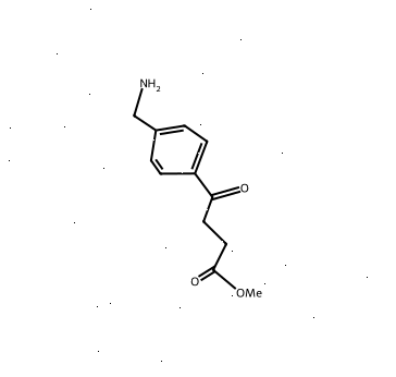 COC(=O)CCC(=O)c1ccc(CN)cc1